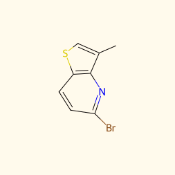 Cc1csc2ccc(Br)nc12